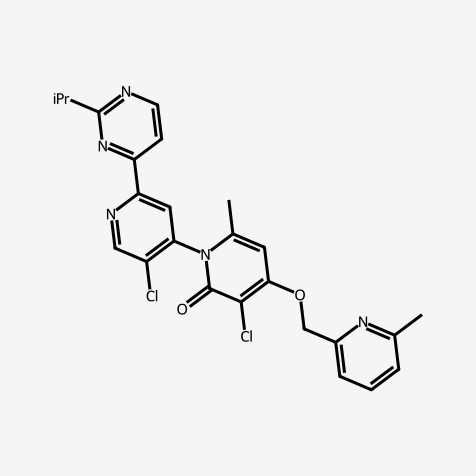 Cc1cccc(COc2cc(C)n(-c3cc(-c4ccnc(C(C)C)n4)ncc3Cl)c(=O)c2Cl)n1